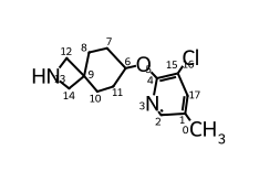 Cc1cnc(OC2CCC3(CC2)CNC3)c(Cl)c1